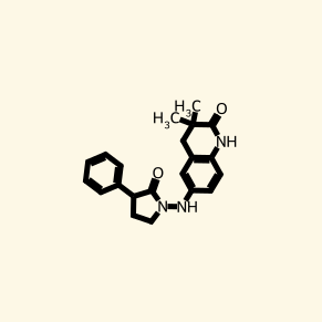 CC1(C)Cc2cc(NN3CCC(c4ccccc4)C3=O)ccc2NC1=O